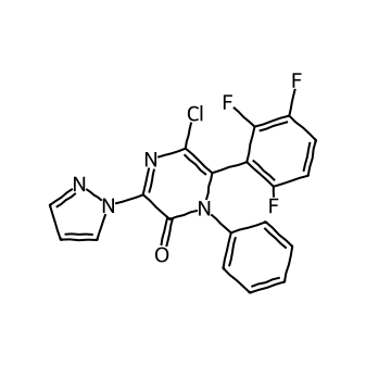 O=c1c(-n2cccn2)nc(Cl)c(-c2c(F)ccc(F)c2F)n1-c1ccccc1